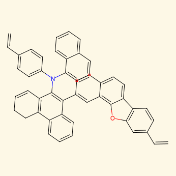 C=Cc1ccc(N(c2c3c(c4ccccc4c2-c2ccc4ccc5c6ccc(C=C)cc6oc5c4c2)CCC=C3)c2cccc3ccccc23)cc1